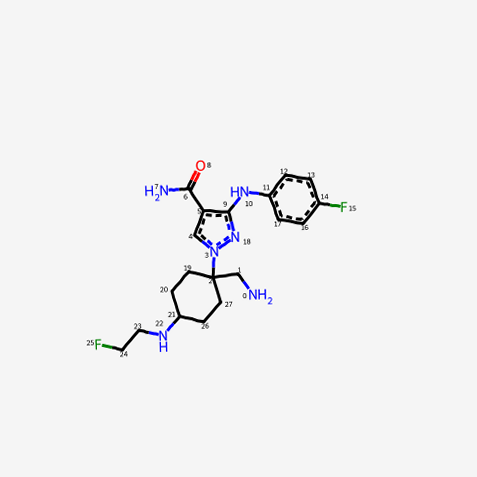 NCC1(n2cc(C(N)=O)c(Nc3ccc(F)cc3)n2)CCC(NCCF)CC1